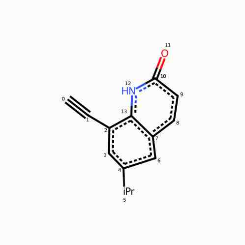 C#Cc1cc(C(C)C)cc2ccc(=O)[nH]c12